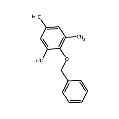 Cc1cc(C)c(OCc2ccccc2)c(O)c1